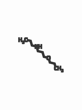 CCCNCCCOCCC